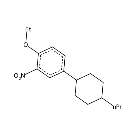 CCCC1CCC(c2ccc(OCC)c([N+](=O)[O-])c2)CC1